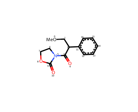 COCC(C(=O)N1CCOC1=O)c1ccccc1